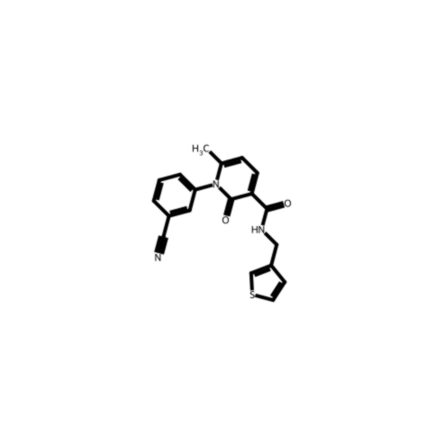 Cc1ccc(C(=O)NCc2ccsc2)c(=O)n1-c1cccc(C#N)c1